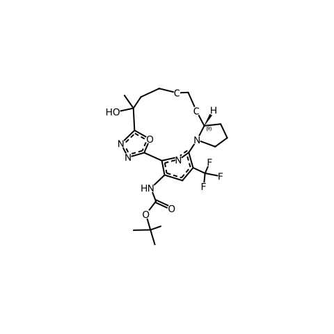 CC(C)(C)OC(=O)Nc1cc(C(F)(F)F)c2nc1-c1nnc(o1)C(C)(O)CCCCC[C@@H]1CCCN21